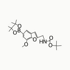 COc1cc(B2OC(C)(C)C(C)(C)O2)cc2cc(CNC(=O)OC(C)(C)C)oc12